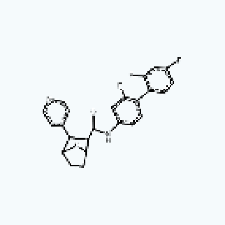 O=C(Nc1ccc(-c2ccc(F)cc2F)c(F)c1)C1C2CCC(O2)C1c1ccncc1